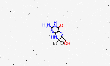 CCC1(CC)Nc2nc(N)[nH]c(=O)c2N=C1CO